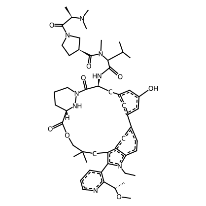 CCn1c(-c2cccnc2[C@H](C)OC)c2c3cc(ccc31)-c1cc(O)cc(c1)C[C@H](NC(=O)C(C(C)C)N(C)C(=O)[C@H]1CCN(C(=O)[C@@H](C)N(C)C)C1)C(=O)N1CCC[C@H](N1)C(=O)OCC(C)(C)C2